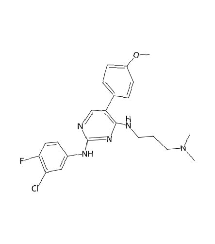 COc1ccc(-c2cnc(Nc3ccc(F)c(Cl)c3)nc2NCCCN(C)C)cc1